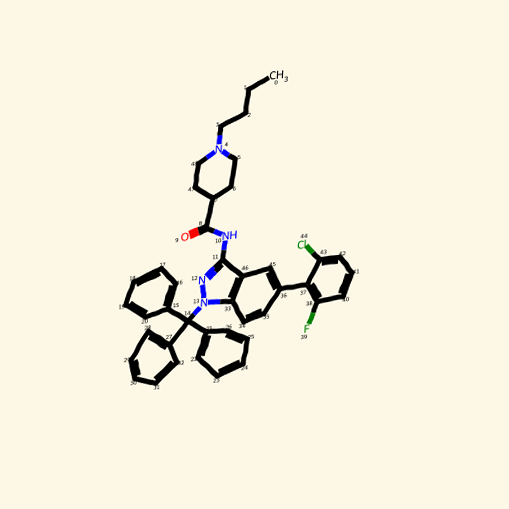 CCCCN1CCC(C(=O)Nc2nn(C(c3ccccc3)(c3ccccc3)c3ccccc3)c3ccc(-c4c(F)cccc4Cl)cc23)CC1